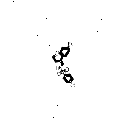 CCc1ccc2c(c1)OCCC2CNS(=O)(=O)c1ccc(Cl)cc1